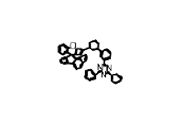 c1ccc(-c2nc(-c3ccccc3)nc(-c3cccc(-c4cccc(-c5ccc6c(c5)Oc5ccccc5C65c6ccccc6-c6ccc7ccccc7c65)c4)c3)n2)cc1